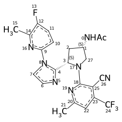 CC(=O)N[C@H]1C[C@@H](c2nccn2-c2ccc(F)c(C)n2)N(c2nc(C)cc(C(F)(F)F)c2C#N)C1